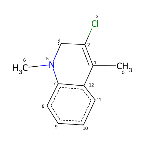 CC1=C(Cl)[C]N(C)c2ccccc21